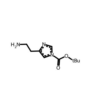 CC(C)(C)OC(=O)n1cnc(CCN)c1